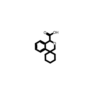 O=C(O)C1OCC2(CCCCC2)c2ccccc21